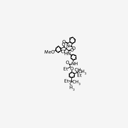 CCC(Oc1ccc(C(C)(C)CC)cc1C(C)(C)CC)C(=O)Nc1cccc(NC(=O)C(Cl)(C(=O)c2ccc(OC)cc2)N2C(=O)c3ccccc3C2=O)c1